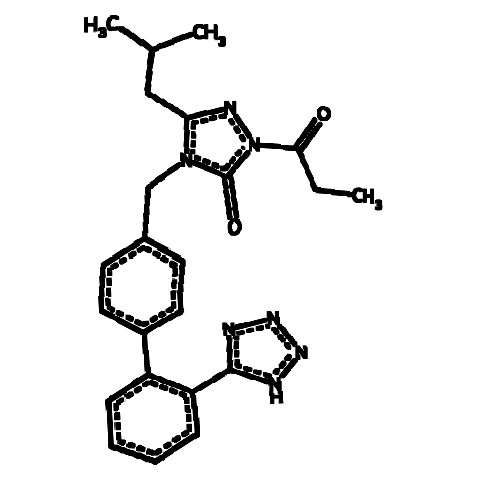 CCC(=O)n1nc(CC(C)C)n(Cc2ccc(-c3ccccc3-c3nnn[nH]3)cc2)c1=O